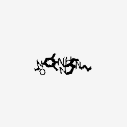 CCCCn1ccc2c(Nc3c(C)cc(N(C)C(C)=O)cc3C)nccc21